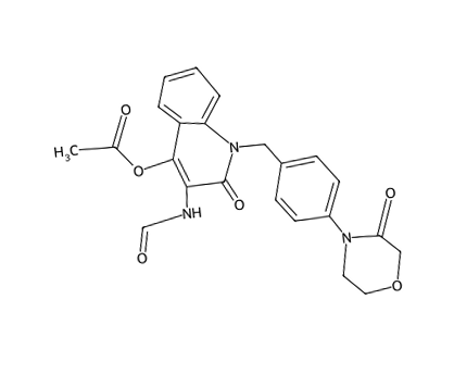 CC(=O)Oc1c(NC=O)c(=O)n(Cc2ccc(N3CCOCC3=O)cc2)c2ccccc12